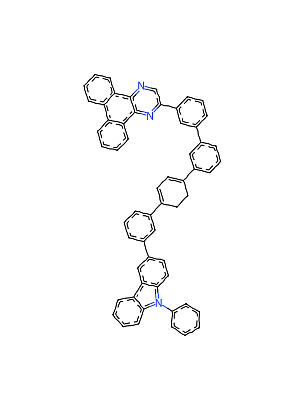 C1=C(c2cccc(-c3cccc(-c4cnc5c6ccccc6c6ccccc6c5n4)c3)c2)CCC(c2cccc(-c3ccc4c(c3)c3ccccc3n4-c3ccccc3)c2)=C1